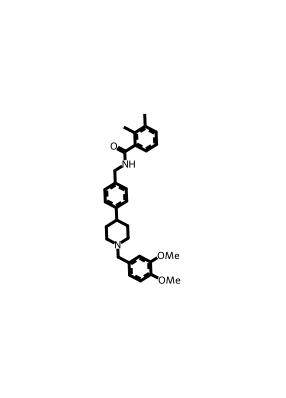 COc1ccc(CN2CCC(c3ccc(CNC(=O)c4cccc(C)c4C)cc3)CC2)cc1OC